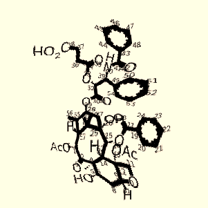 CC(=O)O[C@H]1C(=O)[C@]2(C)[C@@H](O)C[C@H]3OC[C@]3(OC(C)=O)[C@@H]2[C@@H](OC(=O)c2ccccc2)[C@]2(O)C[C@H](OC(=O)[C@H](OC(=O)CCC(=O)O)[C@@H](NC(=O)c3ccccc3)c3ccccc3)C(C)[C@@H]1C2(C)C